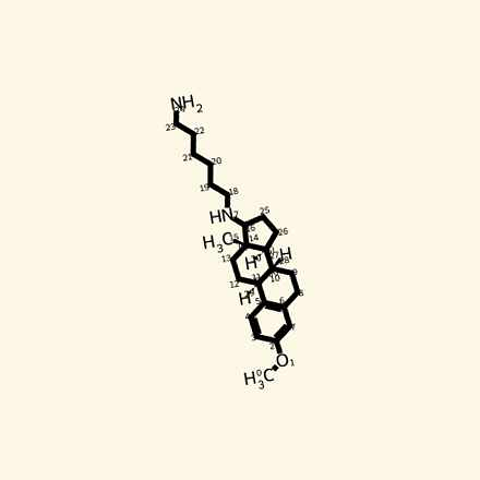 COc1ccc2c(c1)CC[C@@H]1[C@@H]2CC[C@]2(C)C(NCCCCCCN)CC[C@@H]12